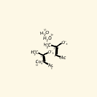 CC(=O)/C=C(/C)[O-].CC(=O)/C=C(/C)[O-].O.O.[Co+2]